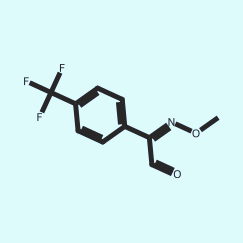 CON=C(C=O)c1ccc(C(F)(F)F)cc1